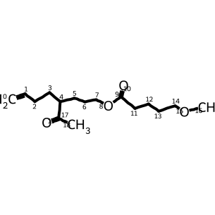 C=CCCC(CCCOC(=O)CCCCOC)C(C)=O